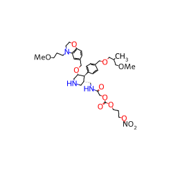 COCCCN1CCOc2ccc(CO[C@H]3CNC[C@@H](CNC(=O)COC(=O)OCCCO[N+](=O)[O-])[C@@H]3c3ccc(COCC(C)COC)cc3)cc21